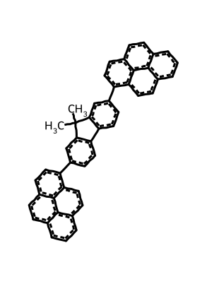 CC1(C)c2cc(-c3ccc4ccc5cccc6ccc3c4c56)ccc2-c2ccc(-c3ccc4ccc5cccc6ccc3c4c56)cc21